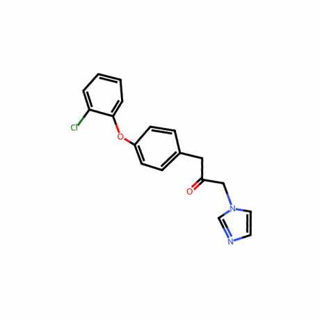 O=C(Cc1ccc(Oc2ccccc2Cl)cc1)Cn1ccnc1